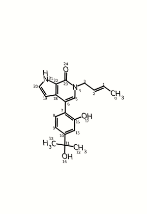 C/C=C/Cn1cc(-c2ccc(C(C)(C)O)cc2O)c2cc[nH]c2c1=O